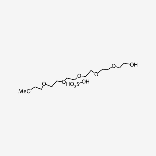 COCCOCCOCCOCCOCCOCCO.O=S(=O)(O)O